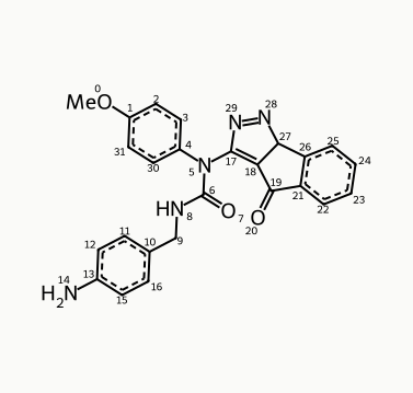 COc1ccc(N(C(=O)NCc2ccc(N)cc2)C2=C3C(=O)c4ccccc4C3N=N2)cc1